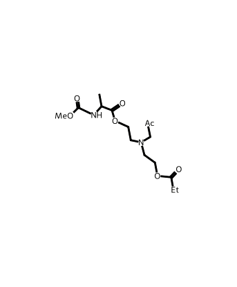 CCC(=O)OCCN(CCOC(=O)C(C)NC(=O)OC)CC(C)=O